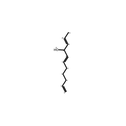 C=CCCCC=CC(O)C=CC